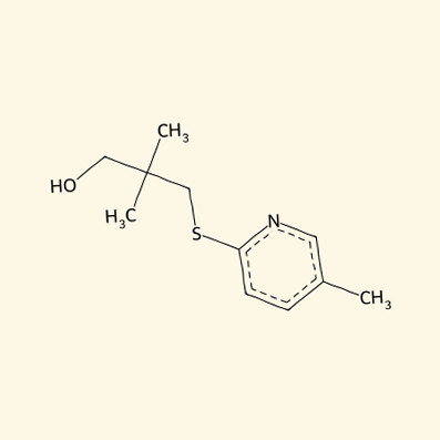 Cc1ccc(SCC(C)(C)CO)nc1